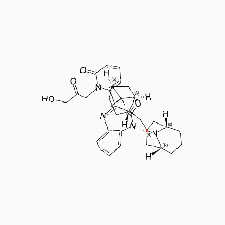 CC1(C)[C@H]2CC[C@@H](CCN3[C@@H]4CCC[C@H]3C[C@@H](n3c(=O)c(-c5cccc(=O)n5CC(=O)CO)nc5ccccc53)C4)[C@@H]1C2